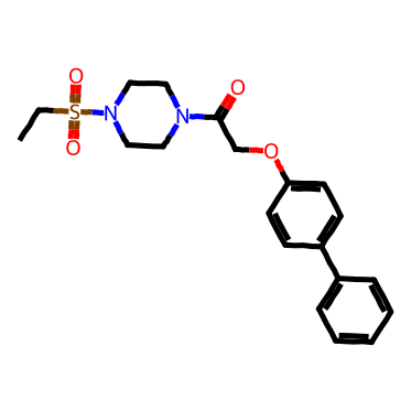 CCS(=O)(=O)N1CCN(C(=O)COc2ccc(-c3ccccc3)cc2)CC1